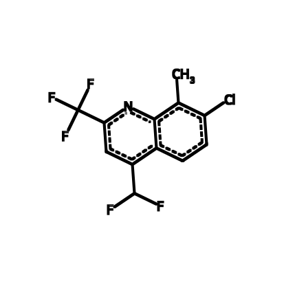 Cc1c(Cl)ccc2c(C(F)F)cc(C(F)(F)F)nc12